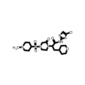 CN1CCC(S(=O)(=O)N2CCN(C(CC3CCOCC3)C(=O)Nc3ncc(Cl)s3)C(=O)C2)CC1